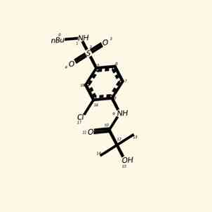 CCCCNS(=O)(=O)c1ccc(NC(=O)C(C)(C)O)c(Cl)c1